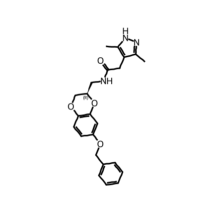 Cc1n[nH]c(C)c1CC(=O)NC[C@@H]1COc2ccc(OCc3ccccc3)cc2O1